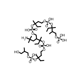 CCC(C)(CCOP(=O)(O)OC(C)(CC)C(COP(=O)(O)OC(C)(CC)CCOP(=O)(O)OC(C)(CC)C(C)COP(=O)(O)O)CC(C)(C)N)OP(=O)(O)OCC(C)CO